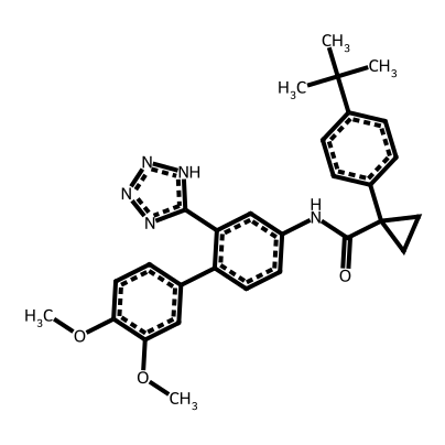 COc1ccc(-c2ccc(NC(=O)C3(c4ccc(C(C)(C)C)cc4)CC3)cc2-c2nnn[nH]2)cc1OC